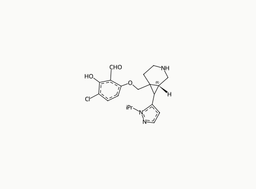 CC(C)n1nccc1C1[C@H]2CNCCC12COc1ccc(Cl)c(O)c1C=O